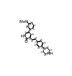 CNc1nccc(-c2c[nH]c(=O)c(C=Cc3ccc(N4CCNCC4)cc3)c2)n1